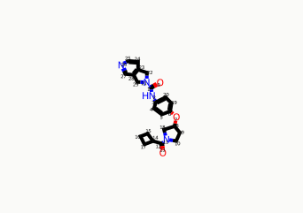 O=C(Nc1ccc(OC2CCN(C(=O)C3CCC3)C2)cc1)N1Cc2ccncc2C1